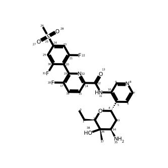 CC[C@H]1O[C@H](c2ccncc2NC(=O)c2ccc(F)c(-c3c(F)cc(S(C)(=O)=O)cc3F)n2)C[C@@H](N)[C@]1(C)O